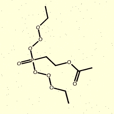 CCOOOP(=O)(CCOC(C)=O)OOOCC